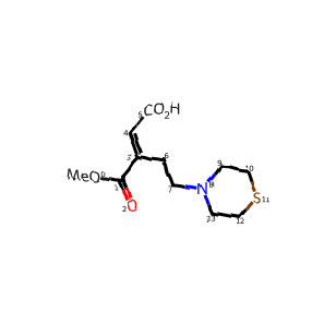 COC(=O)/C(=C/C(=O)O)CCN1CCSCC1